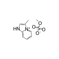 COS(=O)(=O)[O-].Cc1c[nH]c2cccc[n+]12